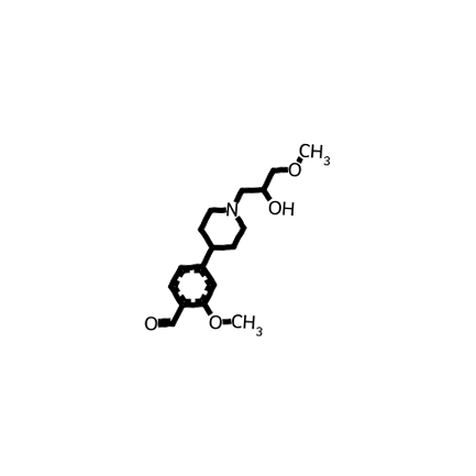 COCC(O)CN1CCC(c2ccc(C=O)c(OC)c2)CC1